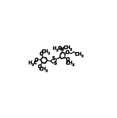 CCCOc1c(OC)cc(C2SCC(c3cc(OC)c(OC)c(OC)c3)S2)cc1N(C)C